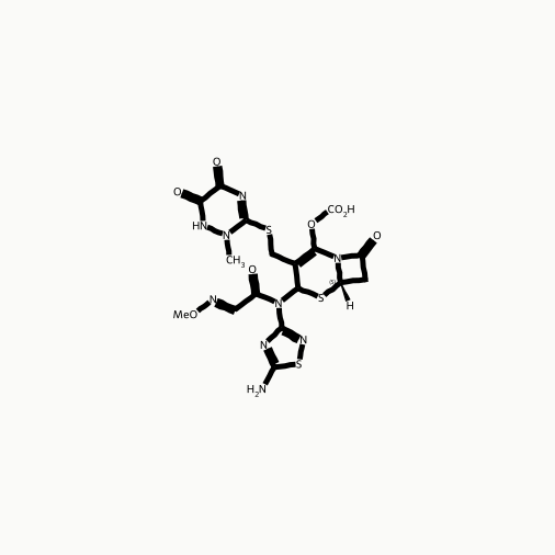 CON=CC(=O)N(c1nsc(N)n1)C1S[C@H]2CC(=O)N2C(OC(=O)O)=C1CSc1nc(=O)c(=O)[nH]n1C